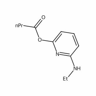 CCCC(=O)Oc1cccc(NCC)n1